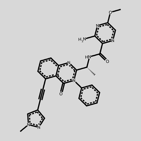 COc1cnc(C(=O)N[C@H](C)c2nc3cccc(C#Cc4cnn(C)c4)c3c(=O)n2-c2ccccc2)c(N)n1